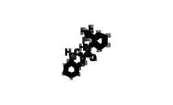 CN(SC1CCCCC1Cl)C(=O)Nc1ccccc1C(F)(F)F